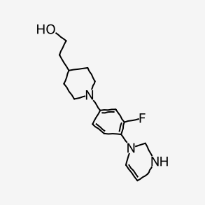 OCCC1CCN(c2ccc(N3C=CCNC3)c(F)c2)CC1